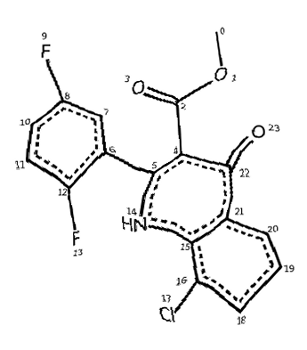 COC(=O)c1c(-c2cc(F)ccc2F)[nH]c2c(Cl)cccc2c1=O